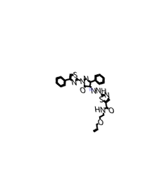 C=CCOCCNC(=O)c1cnc(N/N=C2/C(=O)N(c3nc(-c4ccccc4)cs3)N=C2c2ccccc2)s1